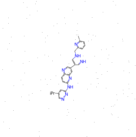 Cc1cccc(CN/C=C(\C=N)c2cnc3ccc(Nc4cc(C(C)C)cnn4)nc3c2)n1